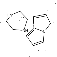 C1=Cc2cccn2C1.C1CNCCN1